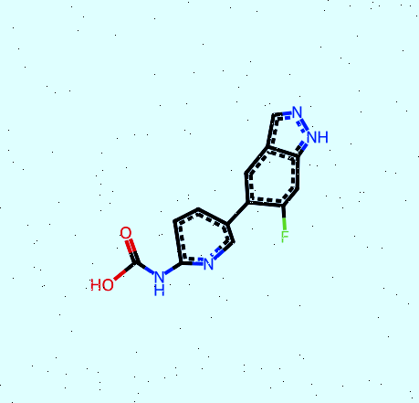 O=C(O)Nc1ccc(-c2cc3cn[nH]c3cc2F)cn1